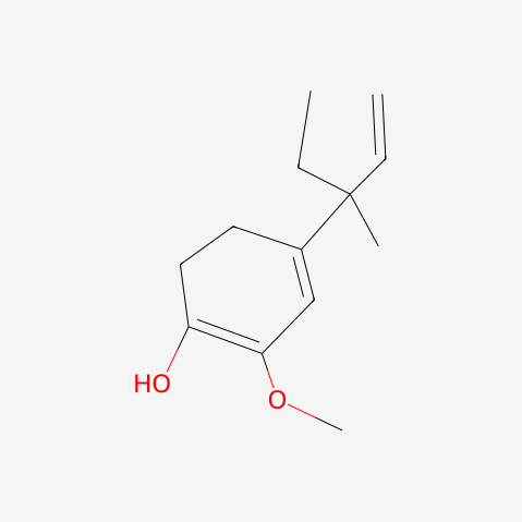 C=CC(C)(CC)C1=CC(OC)=C(O)CC1